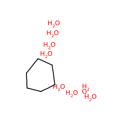 C1CCCCC1.O.O.O.O.O.O.O.O